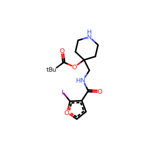 CC(C)(C)C(=O)OC1(CNC(=O)c2ccoc2I)CCNCC1